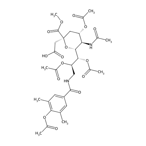 COC(=O)[C@@]1(CC(=O)O)C[C@H](OC(C)=O)[C@@H](NC(C)=O)[C@H]([C@H](OC(C)=O)[C@@H](CNC(=O)c2cc(C)c(OC(C)=O)c(C)c2)OC(C)=O)O1